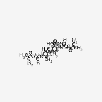 C=C(C)C(=O)OCC(O)COc1ccc(C(C)(C)c2ccc(OCC(O)COC(=O)C(=C)C)c(P(=O)(O)O)c2)cc1C